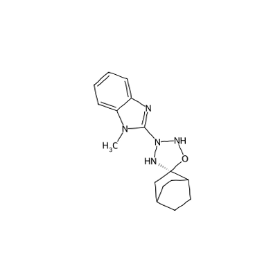 Cn1c(N2NO[C@@]3(CC4CCC3CC4)N2)nc2ccccc21